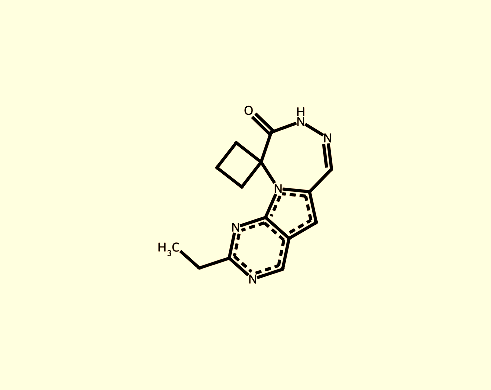 CCc1ncc2cc3n(c2n1)C1(CCC1)C(=O)NN=C3